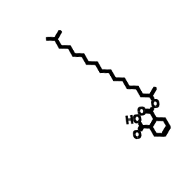 CC(C)CCCCCCCCCCCCCC(C)OC(=O)C1CC=CCC1C(=O)O